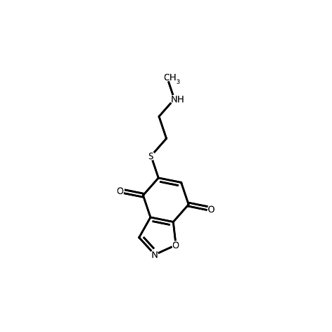 CNCCSC1=CC(=O)c2oncc2C1=O